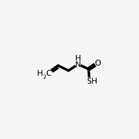 C=CCNC(=O)S